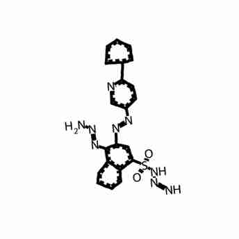 N=NNS(=O)(=O)c1cc(/N=N/c2ccc(-c3ccccc3)nc2)c(N=NN)c2ccccc12